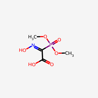 COP(=O)(OC)C(=NO)C(=O)O